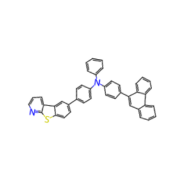 c1ccc(N(c2ccc(-c3ccc4sc5ncccc5c4c3)cc2)c2ccc(-c3cc4ccccc4c4ccccc34)cc2)cc1